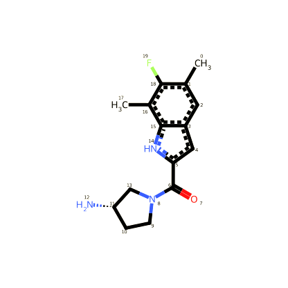 Cc1cc2cc(C(=O)N3CC[C@H](N)C3)[nH]c2c(C)c1F